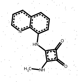 CNc1c(Nc2cccc3cccnc23)c(=O)c1=O